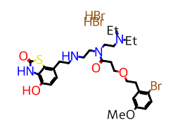 Br.Br.CCN(CC)CCN(CCNCCc1ccc(O)c2[nH]c(=O)sc12)C(=O)CCOCCc1cc(OC)ccc1Br